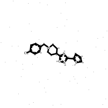 Clc1ccc(CN2CCC(c3nc(-c4cccs4)no3)CC2)cc1